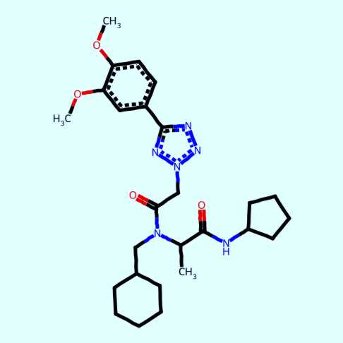 COc1ccc(-c2nnn(CC(=O)N(CC3CCCCC3)C(C)C(=O)NC3CCCC3)n2)cc1OC